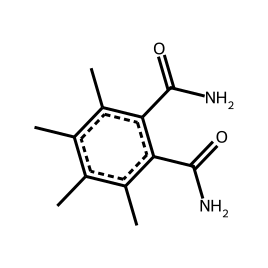 Cc1c(C)c(C)c(C(N)=O)c(C(N)=O)c1C